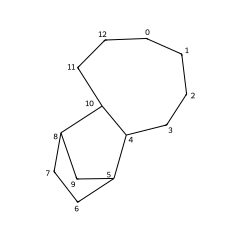 C1CCCC2C3CCC(C3)C2CC1